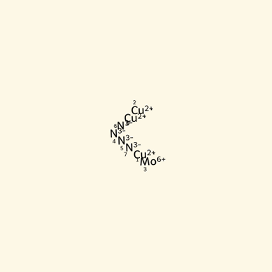 [Cu+2].[Cu+2].[Cu+2].[Mo+6].[N-3].[N-3].[N-3].[N-3]